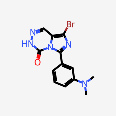 CN(C)c1cccc(-c2nc(Br)c3cn[nH]c(=O)n23)c1